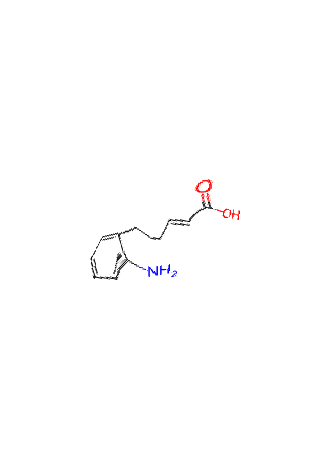 Nc1ccccc1CCC=CC(=O)O